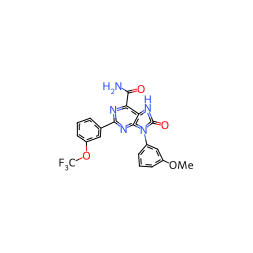 COc1cccc(-n2c(=O)[nH]c3c(C(N)=O)nc(-c4cccc(OC(F)(F)F)c4)nc32)c1